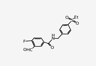 CCS(=O)(=O)c1ccc(CNC(=O)c2ccc(F)c(C=O)c2)cc1